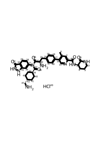 Cc1cc(C(=O)N[C@@H]2CCCNC2=O)ncc1-c1ccc(C[C@H](N)C(=O)N(c2ccc3c(=O)[nH][nH]c3c2)C(=O)[C@H]2CC[C@H](CN)CC2)cc1.Cl